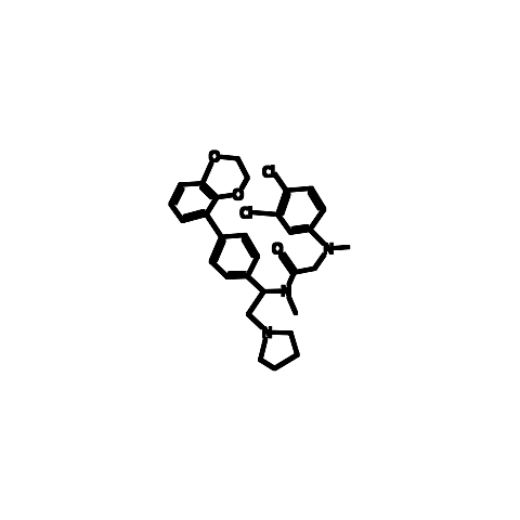 CN(CC(=O)N(C)C(CN1CCCC1)c1ccc(-c2cccc3c2OCCO3)cc1)c1ccc(Cl)c(Cl)c1